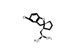 CN(C)C[C@@H]1CCC[C@]12Cc1cc(Cl)ccc1O2